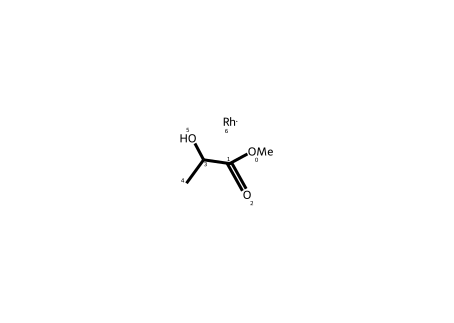 COC(=O)C(C)O.[Rh]